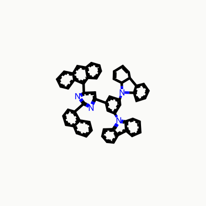 C1=CC2c3ccccc3N(c3cc(-c4cc(-c5c6ccccc6cc6ccccc56)nc(-c5cccc6ccccc56)n4)cc(-n4c5ccccc5c5ccccc54)c3)C2C=C1